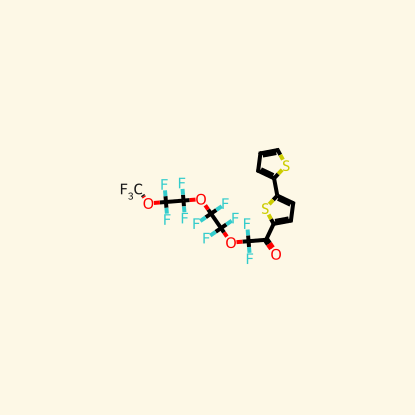 O=C(c1ccc(-c2cccs2)s1)C(F)(F)OC(F)(F)C(F)(F)OC(F)(F)C(F)(F)OC(F)(F)F